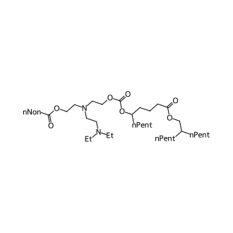 CCCCCCCCCC(=O)OCCN(CCOC(=O)OC(CCCCC)CCCC(=O)OCC(CCCCC)CCCCC)CCN(CC)CC